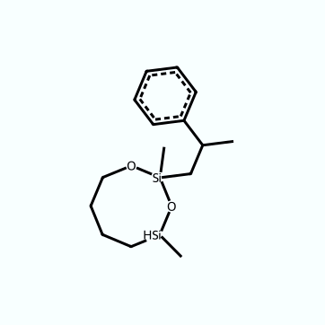 CC(C[Si]1(C)OCCCC[SiH](C)O1)c1ccccc1